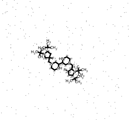 CC(C)(C)[C@@H]1CC(F)(CN2CCNC(C3CN(CC4[C@H](F)C[C@@H](C(C)(C)C)N4C(C)(C)C)CCN3)C2)CN1C(C)(C)C